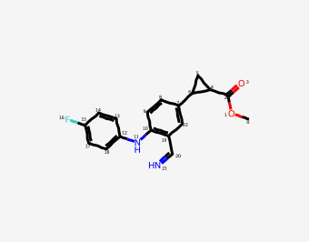 COC(=O)C1CC1c1ccc(Nc2ccc(F)cc2)c(C=N)c1